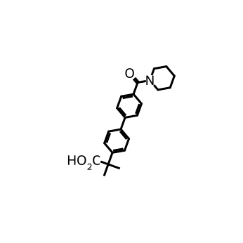 CC(C)(C(=O)O)c1ccc(-c2ccc(C(=O)N3CCCCC3)cc2)cc1